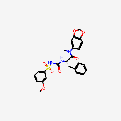 COc1cccc(S(=O)(=O)NC(=O)N[C@@H](Cc2ccccc2)C(=O)N(C)c2ccc3c(c2)OCO3)c1